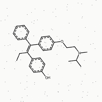 CC/C(=C(\c1ccccc1)c1ccc(OCCN(C)C(C)C)cc1)c1ccc(O)cc1